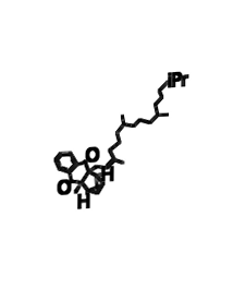 CC(=CC[C@]12C(=O)c3ccccc3C(=O)[C@@]1(C)[C@H]1C=C[C@@H]2C1)CCCC(C)CCCC(C)CCCC(C)C